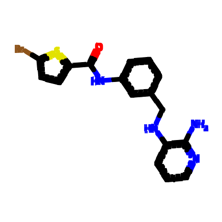 Nc1ncccc1NCc1cccc(NC(=O)c2ccc(Br)s2)c1